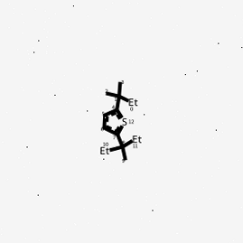 CCC(C)(C)c1ccc(C(C)(CC)CC)s1